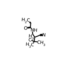 C=CC(=O)NCC(C#N)C(C)(C)C